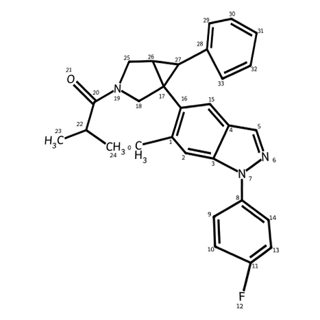 Cc1cc2c(cnn2-c2ccc(F)cc2)cc1C12CN(C(=O)C(C)C)CC1C2c1ccccc1